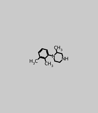 Cc1cccc(N2CCNCC2C)c1C